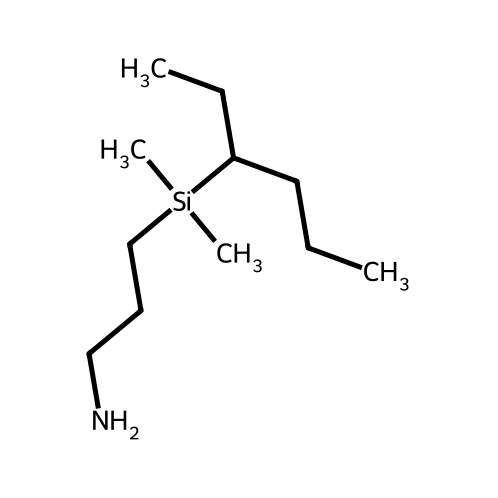 CCCC(CC)[Si](C)(C)CCCN